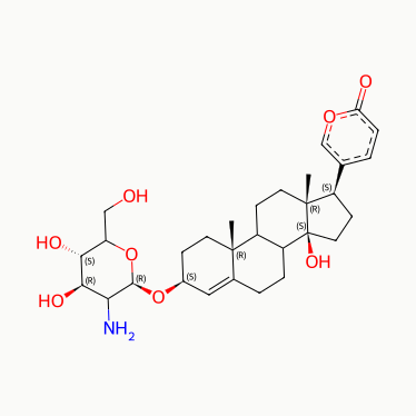 C[C@]12CC[C@H](O[C@@H]3OC(CO)[C@@H](O)[C@H](O)C3N)C=C1CCC1C2CC[C@]2(C)[C@@H](c3ccc(=O)oc3)CC[C@]12O